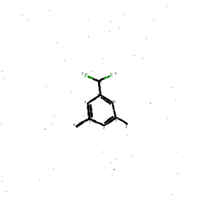 Cc1cc(C)cc(C(F)F)c1